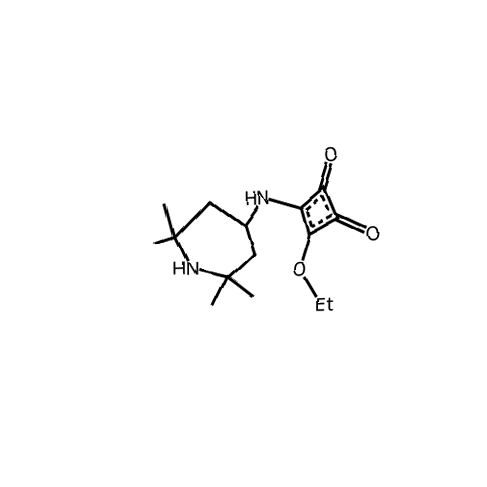 CCOc1c(NC2CC(C)(C)NC(C)(C)C2)c(=O)c1=O